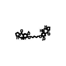 COc1cc2c(cc1OCCCCCOc1cc3c(cc1OC)C(=O)N1CCC[C@H]1CN3)NC[C@@H]1CCCN1C2=O